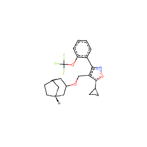 FC(F)(F)Oc1ccccc1-c1noc(C2CC2)c1COC1CC2CC[C@H](C2)C1